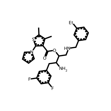 CCc1cccc(CNCC(OC(=O)c2c(-n3cccc3)sc(C)c2C)C(N)Cc2cc(F)cc(F)c2)c1